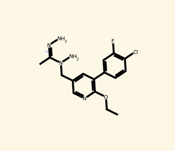 CCOc1ncc(CN(N)/C(C)=N\N)cc1-c1ccc(Cl)c(F)c1